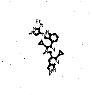 CCOc1nn(C)cc1-n1cc2c(-c3nc(-c4cc5cn(C)nc5nc4C4CC4)n(C)c3C3CC3)cccc2n1